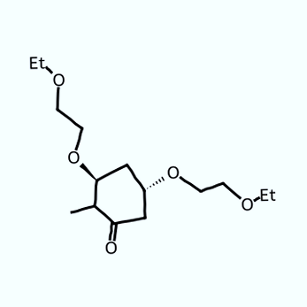 CCOCCO[C@@H]1CC(=O)C(C)[C@@H](OCCOCC)C1